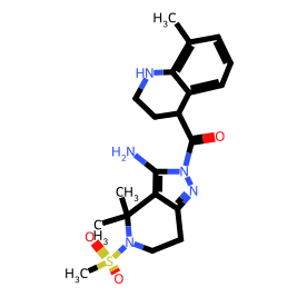 Cc1cccc2c1NCCC2C(=O)n1nc2c(c1N)C(C)(C)N(S(C)(=O)=O)CC2